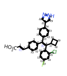 O=C(O)/C=C/c1ccc(/C(=C(\c2ccc(F)cc2Cl)C2CCC2)c2ccc(-c3cn[nH]c3)cc2)cc1